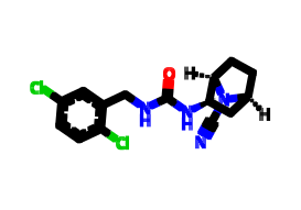 N#CN1[C@H]2CC[C@@H]1[C@H](NC(=O)NCc1cc(Cl)ccc1Cl)C2